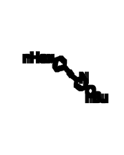 CCCCCCc1ccc(C#Cc2ccc(OCCCC)cn2)cc1